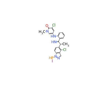 CC(C(=N)c1ccccc1Nc1cc(Cl)c(=O)n(C)c1)c1ccc2c(cnn2PI)c1Cl